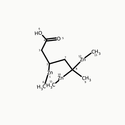 [CH3][Zn][CH](CC(=O)O)C[C](C)([Zn][CH3])[Zn][CH3]